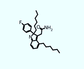 CCCCCCc1cccc2c1=C(CC(N)=O)C(CCCCCC)(c1ccc(F)cc1)N=2